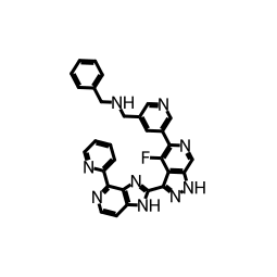 Fc1c(-c2cncc(CNCc3ccccc3)c2)ncc2[nH]nc(-c3nc4c(-c5ccccn5)nccc4[nH]3)c12